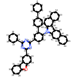 c1ccc(-c2ccc(-c3cc(-c4nc(-c5ccccc5)nc(-c5ccc6oc7ccccc7c6c5)n4)ccc3-n3c4cc5ccccc5cc4c4c5ccccc5ccc43)cc2)cc1